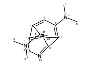 CN(C)c1cc2c(N(C)C)cc1-c1noc-2n1